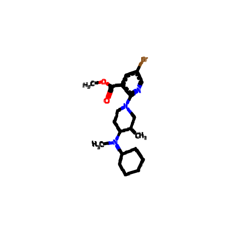 COC(=O)c1cc(Br)cnc1N1CCC(N(C)C2CCCCC2)C(C)C1